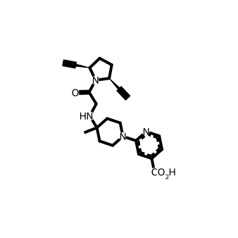 C#C[C@@H]1CC[C@H](C#C)N1C(=O)CNC1(C)CCN(c2cc(C(=O)O)ccn2)CC1